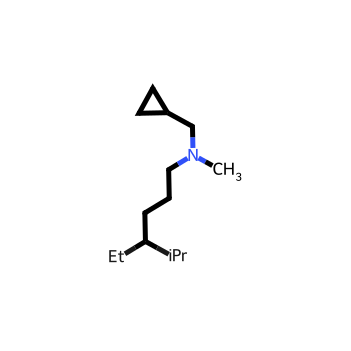 CCC(CCCN(C)CC1CC1)C(C)C